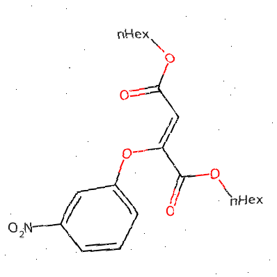 CCCCCCOC(=O)/C=C(\Oc1cccc([N+](=O)[O-])c1)C(=O)OCCCCCC